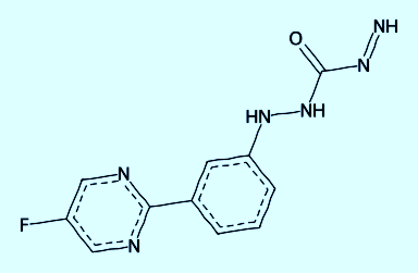 N=NC(=O)NNc1cccc(-c2ncc(F)cn2)c1